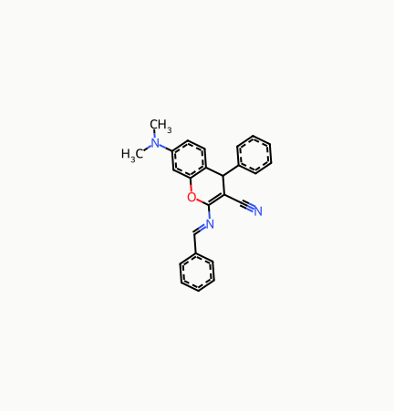 CN(C)c1ccc2c(c1)OC(N=Cc1ccccc1)=C(C#N)C2c1ccccc1